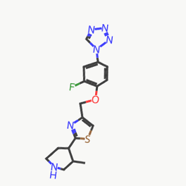 CC1CNCCC1c1nc(COc2ccc(-n3cnnn3)cc2F)cs1